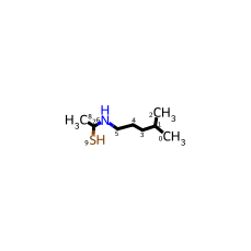 CC(C)CCCNC(C)S